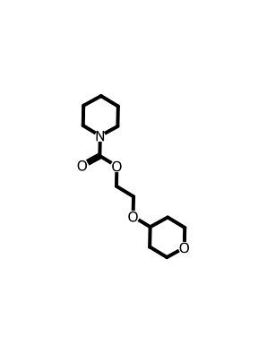 O=C(OCCOC1CCOCC1)N1CCCCC1